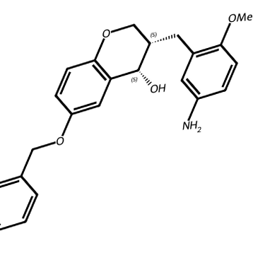 COc1ccc(N)cc1C[C@H]1COc2ccc(OCc3ccccc3)cc2[C@H]1O